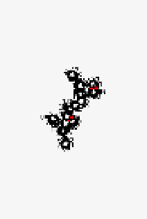 Cc1ccc(N(c2ccc3c(c2)C(C)(C)c2cc4cc(N(c5ccc(C)cc5)c5c(F)cc(-c6ccccc6)cc5-c5ccccc5)ccc4cc2-3)c2c(F)cc(-c3ccccc3)cc2-c2ccccc2)cc1